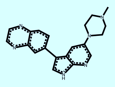 CN1CCN(c2cnc3[nH]cc(-c4ccc5nccnc5c4)c3c2)CC1